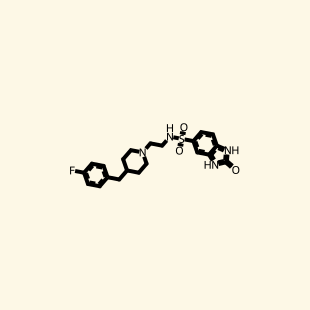 O=c1[nH]c2ccc(S(=O)(=O)NCCN3CCC(Cc4ccc(F)cc4)CC3)cc2[nH]1